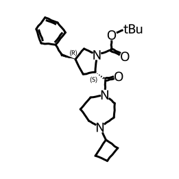 CC(C)(C)OC(=O)N1C[C@H](Cc2ccccc2)C[C@H]1C(=O)N1CCCN(C2CCC2)CC1